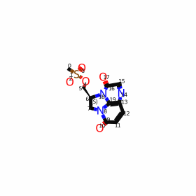 CS(=O)(=O)OC[C@@H]1Cn2c(=O)ccc3ncc(=O)n1c32